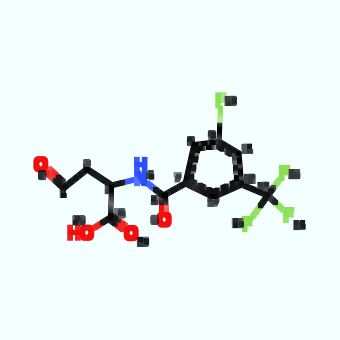 O=CCC(NC(=O)c1cc(F)cc(C(F)(F)F)c1)C(=O)O